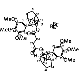 COc1cc(C[N+]2(C)C3CCC2CC(OC(=O)CCC(=O)OC2CC4CCC(C2)[N+]4(C)Cc2cc(OC)c(OC)c(OC)c2)C3)cc(OC)c1OC.[Br-].[Br-]